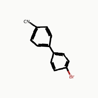 [C-]#[N+]c1ccc(-c2ccc(Br)cc2)cc1